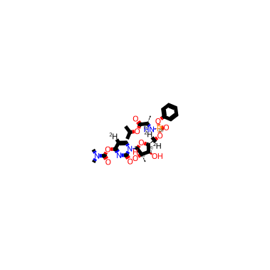 [2H]c1cn([C@@H]2O[C@H](C([2H])([2H])O[P@@](=O)(N[C@@H](C)C(=O)OC(C)C)Oc3ccccc3)[C@@H](O)[C@@]2(C)O)c(=O)nc1OC(=O)N(C)C